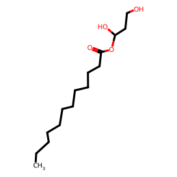 CCCCCCCCCCCC(=O)OC(O)CCO